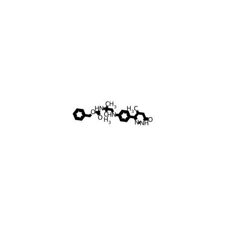 CC1CC(=O)NN=C1c1ccc(NCC(C)(C)NC(=O)OCc2ccccc2)cc1